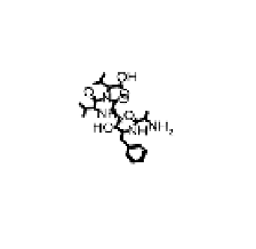 CC(N)C(=O)NC(Cc1ccccc1)C(O)CCC(=O)N(C(=O)C(N)C(C)C)C(C(=O)O)C(C)C